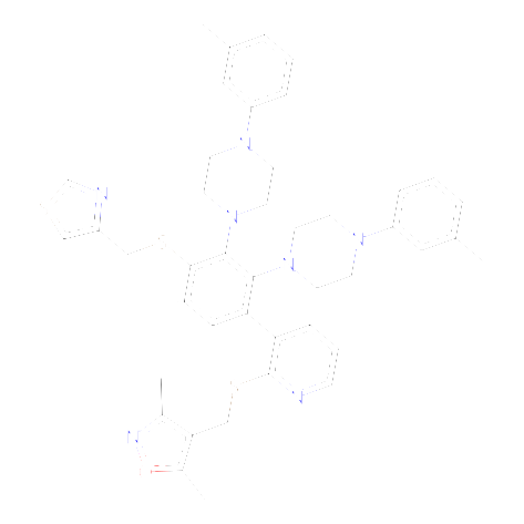 Cc1cccc(N2CCN(c3c(SCc4cscn4)[c]cc(-c4cccnc4SCc4c(C)noc4C)c3N3CCN(c4cccc(C)c4)CC3)CC2)c1